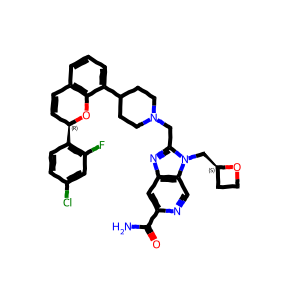 NC(=O)c1cc2nc(CN3CCC(c4cccc5c4O[C@@H](c4ccc(Cl)cc4F)C=C5)CC3)n(C[C@@H]3CCO3)c2cn1